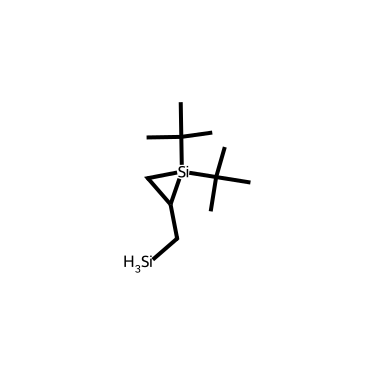 CC(C)(C)[Si]1(C(C)(C)C)CC1C[SiH3]